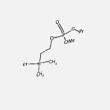 CC[N+](C)(C)CCOP(=O)(OC)OC(C)C